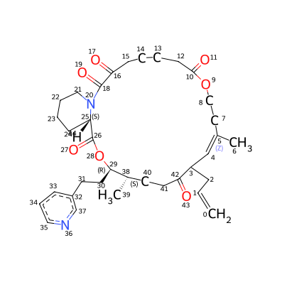 C=CCC1/C=C(/C)CCOC(=O)CCCCC(=O)C(=O)N2CCCC[C@H]2C(=O)O[C@H](CCc2cccnc2)[C@@H](C)CCC1=O